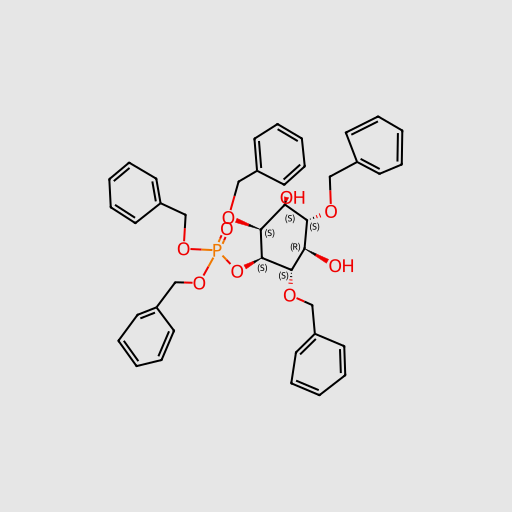 O=P(OCc1ccccc1)(OCc1ccccc1)O[C@@H]1[C@@H](OCc2ccccc2)[C@H](O)[C@@H](OCc2ccccc2)[C@H](O)[C@@H]1OCc1ccccc1